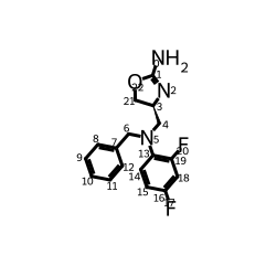 NC1=N[C@@H](CN(Cc2ccccc2)c2ccc(F)cc2F)CO1